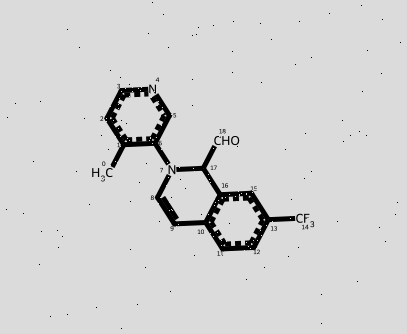 Cc1ccncc1N1C=Cc2ccc(C(F)(F)F)cc2C1C=O